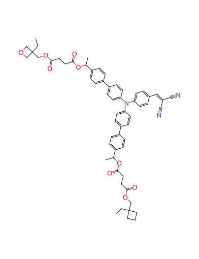 CCC1(COC(=O)CCC(=O)OC(C)c2ccc(-c3ccc(N(c4ccc(C=C(C#N)C#N)cc4)c4ccc(-c5ccc(C(C)OC(=O)CCC(=O)OCC6(CC)COC6)cc5)cc4)cc3)cc2)CCC1